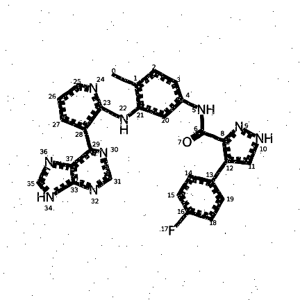 Cc1ccc(NC(=O)c2n[nH]cc2-c2ccc(F)cc2)cc1Nc1ncccc1-c1ncnc2[nH]cnc12